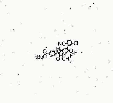 CC(C(=O)Nc1ccc(C(=O)OC(C)(C)C)cc1)n1cc(OC(F)F)c(-c2cc(Cl)ccc2C#N)cc1=O